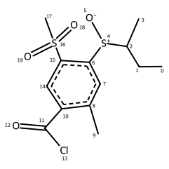 CCC(C)[S+]([O-])c1cc(C)c(C(=O)Cl)cc1S(C)(=O)=O